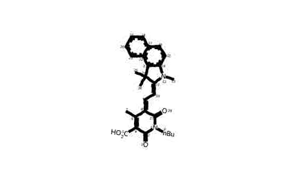 CCCCN1C(=O)C(C(=O)O)=C(C)/C(=C/C=C2/N(C)c3ccc4ccccc4c3C2(C)C)C1=O